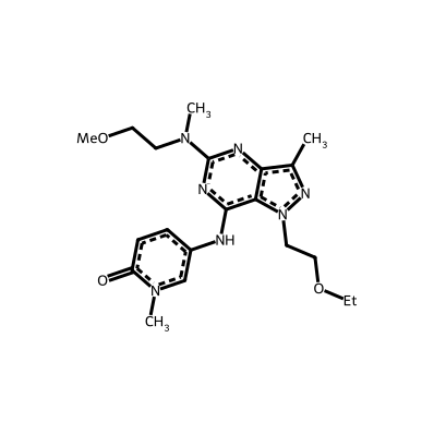 CCOCCn1nc(C)c2nc(N(C)CCOC)nc(Nc3ccc(=O)n(C)c3)c21